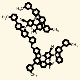 Cc1cccc(-c2ccc3c(c2)c2ccccc2n3-c2cc(-c3ccccc3C(F)(F)F)c(-n3c4ccc(Cc5cccc(-c6ccc7c8ccc(-c9cccc(C)c9)cc8n(-c8cc(-c9ccccc9C(F)(F)F)c(-n9c%10cc(-c%11cccc(C)c%11)ccc%10c%10ccc(-c%11cccc(C)c%11)cc%109)cc8C#N)c7c6)c5)cc4c4cc(-c5cccc(C)c5)ccc43)cc2C#N)c1